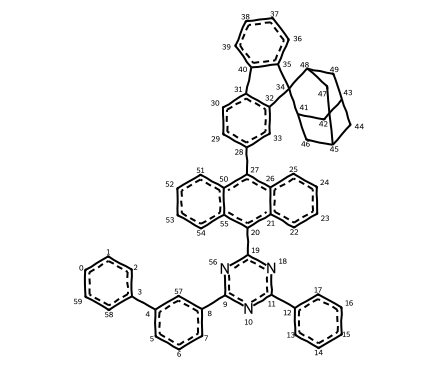 c1ccc(-c2cccc(-c3nc(-c4ccccc4)nc(-c4c5ccccc5c(-c5ccc6c(c5)C5(c7ccccc7-6)C6CC7CC(C6)CC5C7)c5ccccc45)n3)c2)cc1